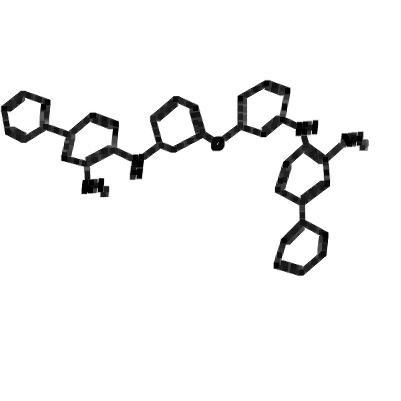 Nc1cc(-c2ccccc2)ccc1Nc1cccc(OC2=CC=CC(Nc3ccc(-c4ccccc4)cc3N)C2)c1